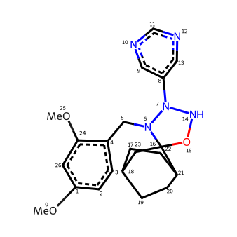 COc1ccc(CN2N(c3cncnc3)NOC23CC2CCC3CC2)c(OC)c1